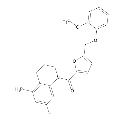 COc1ccccc1OCc1ccc(C(=O)N2CCCc3c(P)cc(F)cc32)o1